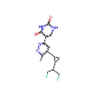 Cc1nnc(-c2c[nH]c(=O)[nH]c2=O)cc1C1CC1C(CF)CF